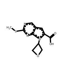 CSc1ncc2cc(C(=O)O)n(C3COC3)c2n1